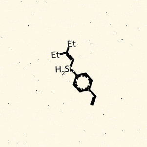 C=Cc1ccc([SiH2]C=C(CC)CC)cc1